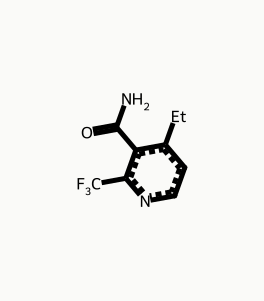 CCc1ccnc(C(F)(F)F)c1C(N)=O